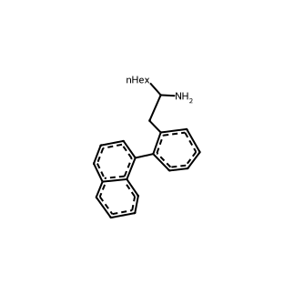 CCCCCCC(N)Cc1ccccc1-c1cccc2ccccc12